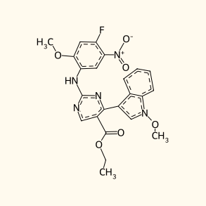 CCOC(=O)c1cnc(Nc2cc([N+](=O)[O-])c(F)cc2OC)nc1-c1cn(OC)c2ccccc12